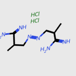 CC(CN=NCC(C)C(=N)N)C(=N)N.Cl.Cl